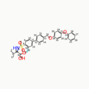 CC(C)[C@@H](NS(=O)(=O)c1ccc(-c2ccc(COc3ccc(Oc4ccccc4)cc3)cc2)cc1F)C(=O)O